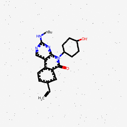 C=Cc1ccc2c(c1)c(=O)n(C1CCC(O)CC1)c1nc(NCCCC)ncc21